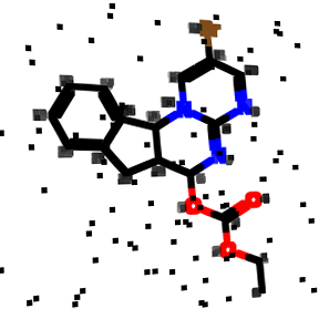 CCOC(=O)OC1N=C2N=CC(Br)=CN2C2c3ccccc3CC12